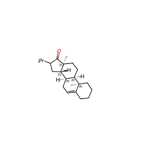 CC(C)C1C[C@H]2[C@@H]3CC=C4CCCC[C@]4(C)[C@@H]3CC[C@]2(C)C1=O